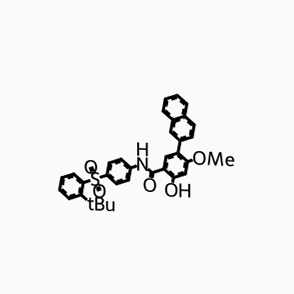 COc1cc(O)c(C(=O)Nc2ccc(S(=O)(=O)c3ccccc3C(C)(C)C)cc2)cc1-c1ccc2ccccc2c1